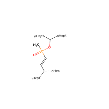 CCCCCCCC(/C=C/P(C)(=O)OC(CCCCCCC)CCCCCCC)CCCCCC